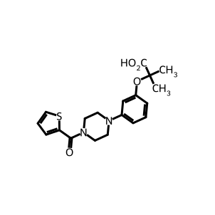 CC(C)(Oc1cccc(N2CCN(C(=O)c3cccs3)CC2)c1)C(=O)O